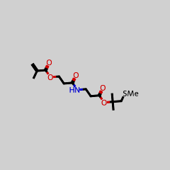 C=C(C)C(=O)OCCC(=O)NCCC(=O)OC(C)(C)CSC